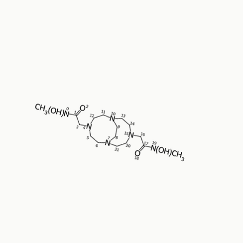 CN(O)C(=O)CN1CCN2CCN(CC1)CCN(CC(=O)N(C)O)CC2